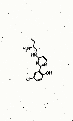 CC[C@H](N)CNc1ccnc(-c2cc(Cl)ccc2O)n1